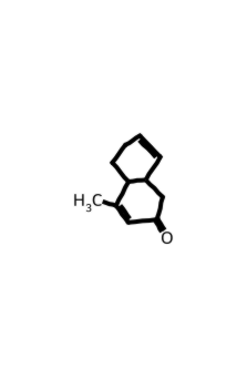 CC1=CC(=O)CC2C=CCCC12